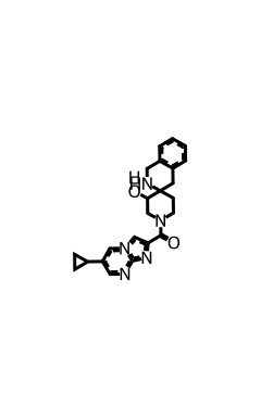 O=C(c1cn2cc(C3CC3)cnc2n1)N1CCC2(Cc3ccccc3CN2)C(O)C1